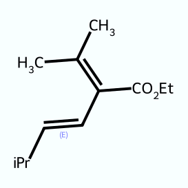 CCOC(=O)C(/C=C/C(C)C)=C(C)C